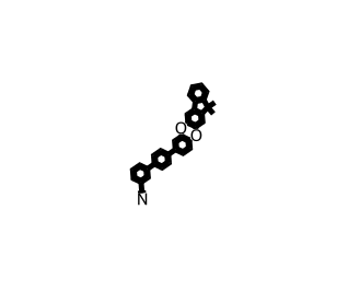 CC1(C)c2ccccc2-c2cc3c(cc21)Oc1ccc(-c2ccc(-c4cccc(C#N)c4)cc2)cc1O3